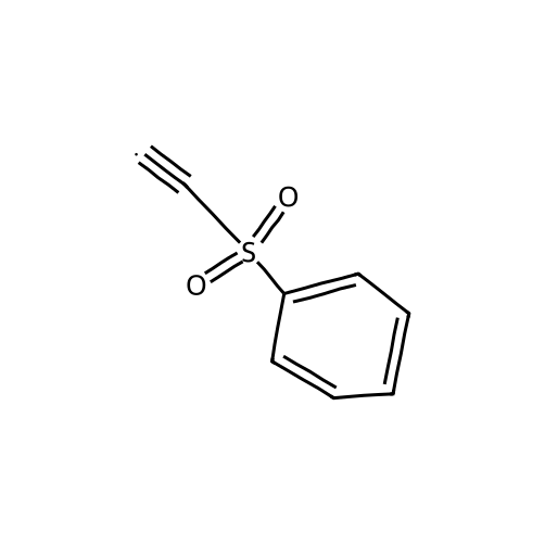 [C]#CS(=O)(=O)c1ccccc1